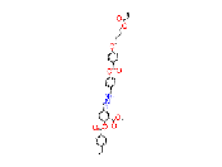 C=CC(=O)OCCCCOc1ccc(C(=O)Oc2ccc(/C=N/N=C/c3ccc(OC(=O)c4ccc(CC)cc4)c(C(=O)OC)c3)cc2)cc1